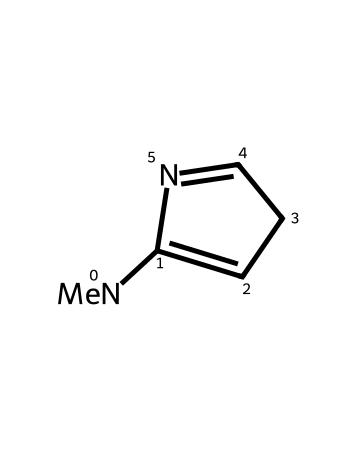 CNC1=CCC=N1